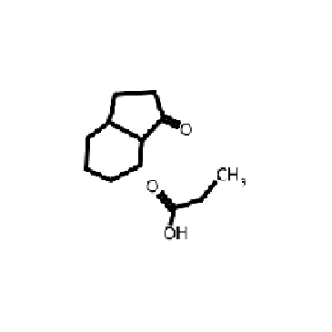 CCC(=O)O.O=C1CCC2CCCCC12